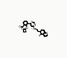 O=C(O)c1cccc(-c2cc(NCCc3ccc4sccc4c3F)ncn2)c1OC1CCC1